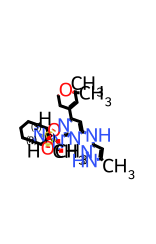 CCS(=O)(=O)N1[C@@H]2CCC[C@H]1C[C@@H](N(C)c1nc(Nc3cc(C)[nH]n3)cc(C3=CC(C)(C)OCC3)n1)C2